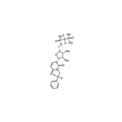 O=c1ccn([C@@H]2O[C@H](COP(=O)(O)C(F)(F)P(=O)(O)O)C(O)C2O)c(=O)n1CC(F)(F)c1ccccc1